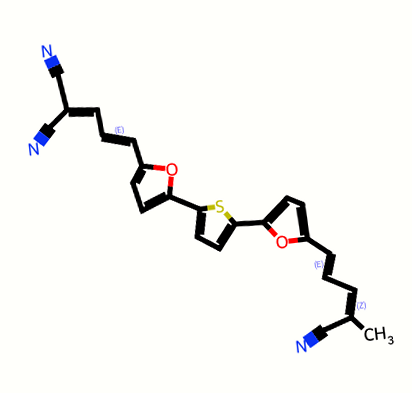 C/C(C#N)=C/C=C/c1ccc(-c2ccc(-c3ccc(/C=C/C=C(C#N)C#N)o3)s2)o1